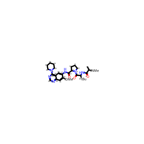 CNC(C)C(=O)NC(C(=O)N1CCCC1C(=O)Nc1cc2c(N3CCCCC3)ncnc2cc1OC)C(C)(C)C